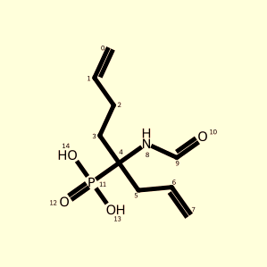 C=CCCC(CC=C)(NC=O)P(=O)(O)O